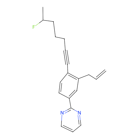 C=CCc1cc(-c2ncccn2)ccc1C#CCCCC(C)F